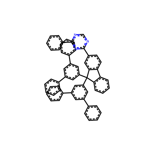 c1ccc(-c2cc(-c3ccccc3)cc(C3(c4cc(-c5ccccc5)cc(-c5ccccc5)c4)c4ccccc4-c4ccc(-c5ncnc(-c6ccccc6)n5)cc43)c2)cc1